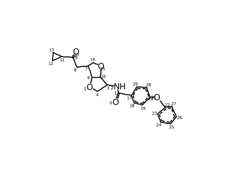 O=C(NC1COC2C(CC(=O)C3CC3)COC12)c1ccc(Oc2ccccc2)cc1